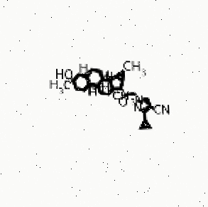 CC1C2C1[C@H]1[C@@H]3CC[C@@H]4C[C@](C)(O)CC[C@@H]4[C@H]3CC[C@]1(C)[C@H]2C(=O)Cn1cc(C#N)c(C2CC2)n1